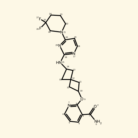 NC(=O)c1cccnc1OC1CC2(CC(Nc3nccc(N4CCCC(F)(F)C4)n3)C2)C1